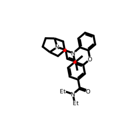 CCN(CC)C(=O)c1ccc2c(c1)Oc1ccccc1N2C1CC2CCC(C1)N2CC=C(C)C